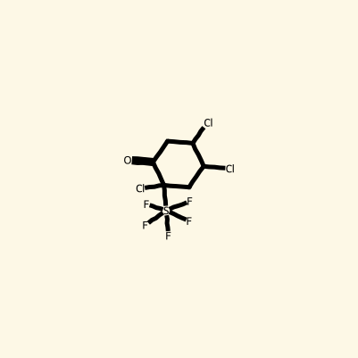 O=C1CC(Cl)C(Cl)CC1(Cl)S(F)(F)(F)(F)F